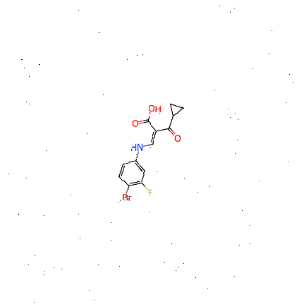 O=C(O)C(=CNc1ccc(Br)c(F)c1)C(=O)C1CC1